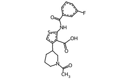 CC(=O)N1CCCC(c2csc(NC(=O)c3cccc(F)c3)c2C(=O)O)C1